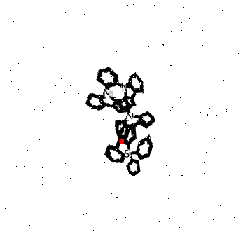 c1ccc([Si](c2ccccc2)(c2ccccc2)c2ccccc2-c2ccc3c(c2)c2ccccc2n3-c2ccc3c(c2)c2ccccc2n3-c2ccccc2-n2c3ccccc3c3ccccc32)cc1